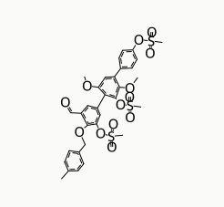 COc1cc(-c2ccc(OS(C)(=O)=O)cc2)c(OC)c(OS(C)(=O)=O)c1-c1cc(C=O)c(OCc2ccc(C)cc2)c(OS(C)(=O)=O)c1